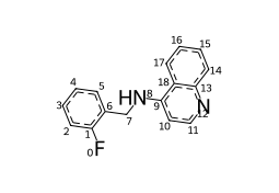 Fc1ccccc1CNc1ccnc2ccccc12